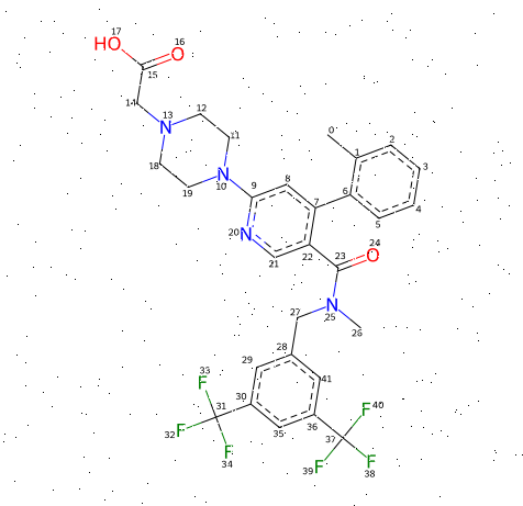 Cc1ccccc1-c1cc(N2CCN(CC(=O)O)CC2)ncc1C(=O)N(C)Cc1cc(C(F)(F)F)cc(C(F)(F)F)c1